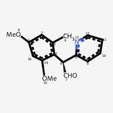 COc1cc(C)c([C@H](C=O)c2ccccn2)c(OC)c1